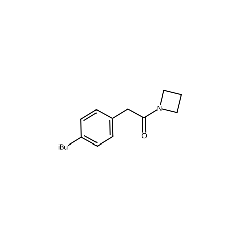 CCC(C)c1ccc(CC(=O)N2CCC2)cc1